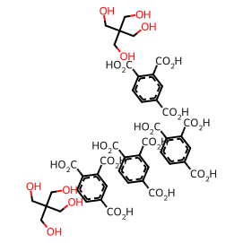 O=C(O)c1ccc(C(=O)O)c(C(=O)O)c1.O=C(O)c1ccc(C(=O)O)c(C(=O)O)c1.O=C(O)c1ccc(C(=O)O)c(C(=O)O)c1.O=C(O)c1ccc(C(=O)O)c(C(=O)O)c1.OCC(CO)(CO)CO.OCC(CO)(CO)CO